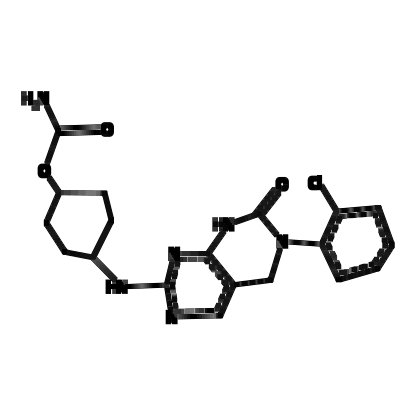 NC(=O)OC1CCC(Nc2ncc3c(n2)NC(=O)N(c2ccccc2Cl)C3)CC1